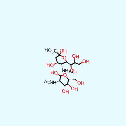 CC(=O)N[C@@H]1C(O)O[C@H](CO)[C@@H](O)[C@@H]1O.CC(=O)N[C@@H]1[C@@H](O)CC(O)(C(=O)O)O[C@H]1C(O)C(O)CO